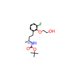 C[C@@H](CCc1cccc(F)c1OCCO)NC(=O)OC(C)(C)C